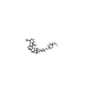 CN1CCN(CCCCN/C=C/S(=O)(=O)c2cc3c(Nc4cccc(Br)c4)ncnc3cn2)CC1